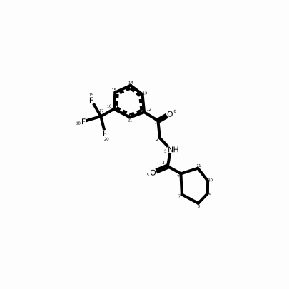 O=C(CNC(=O)C1CCCCC1)c1cccc(C(F)(F)F)c1